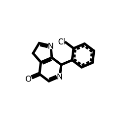 O=C1C=NC(c2ccccc2Cl)C2=C1CC=N2